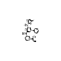 C=CC(=O)N1CCC[C@H](Nc2cc(-c3ccccc3)cc(Nc3ncc(C)s3)n2)C1